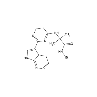 CCNC(=O)C(C)(C)NC1=NC(C2=CNC3=NC=CCC23)=NCC1